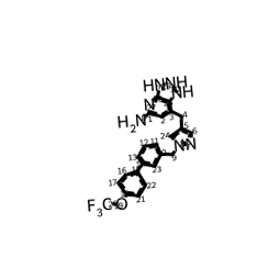 Nc1cc(Cc2cnn(Cc3cccc(-c4ccc(OC(F)(F)F)cc4)c3)c2)c2c(n1)NNN2